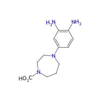 Nc1ccc(N2CCCN(C(=O)O)CC2)cc1N